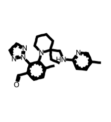 CCC1(CNc2ccc(C)cn2)CCCCN1c1c(C)ccc(C=O)c1-n1nccn1